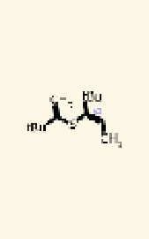 C=C(S/C(=C\C)C(C)(C)C)C(C)(C)C